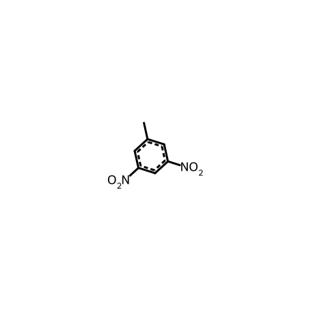 Cc1cc([N+](=O)[O-])cc([N+](=O)[O-])c1